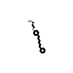 CCCOCCOc1ccc(/C=C/C=C/C=C/c2ccccc2)cc1